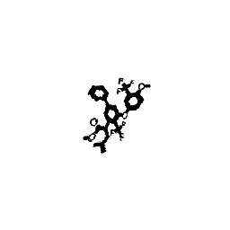 COC(=O)C(CC(C)C)c1cc(-c2ccccc2)cc(Oc2ccc(OC)c(C(F)(F)F)c2)c1C(F)(F)F